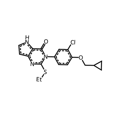 CCSc1nc2cc[nH]c2c(=O)n1-c1ccc(OCC2CC2)c(Cl)c1